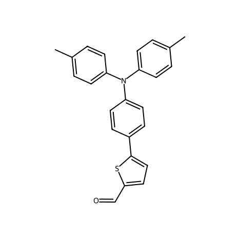 Cc1ccc(N(c2ccc(C)cc2)c2ccc(-c3ccc(C=O)s3)cc2)cc1